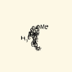 COc1cccc(-c2c(C)sc3nc(C)cc(NS(=O)(=O)C4(I)CCN(C(=O)OCc5ccccc5)CC4)c23)c1